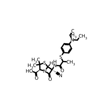 CCN(CC)c1ccc(SC(C)C(=O)N[C@@]2(C#N)C(=O)N3[C@@H](C(=O)O)C(C)(C)S[C@@H]32)cc1